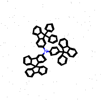 c1ccc(C2(c3ccc(N(c4ccc5c(c4)-c4ccccc4C54c5ccccc5-c5ccccc54)c4ccc5c(c4)C(c4ccccc4)(c4ccccc4)c4ccccc4-5)cc3)c3ccccc3-c3ccccc32)cc1